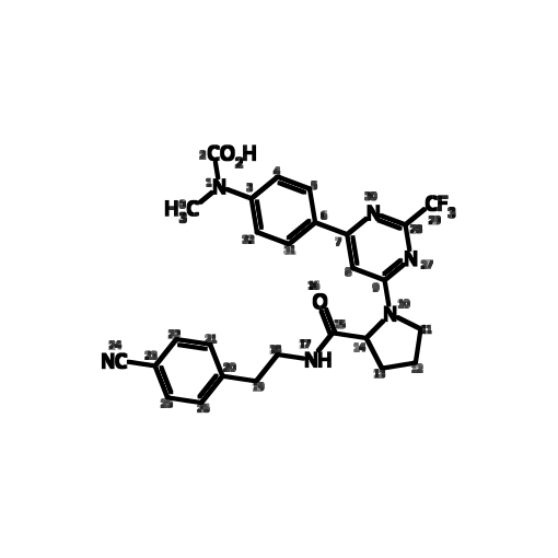 CN(C(=O)O)c1ccc(-c2cc(N3CCCC3C(=O)NCCc3ccc(C#N)cc3)nc(C(F)(F)F)n2)cc1